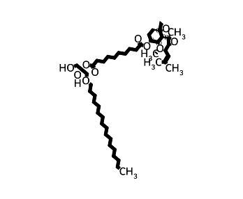 CCCCCCCCCCCCCCCCCOCC(O)(CO)OC(=O)CCCCCCCCC(=O)O[C@@H]1CC[C@]2(CO2)[C@@H]([C@@]2(C)OC2CC=C(C)C)[C@@H]1OC